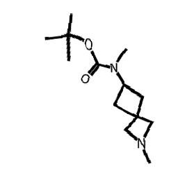 CN1CC2(CC(N(C)C(=O)OC(C)(C)C)C2)C1